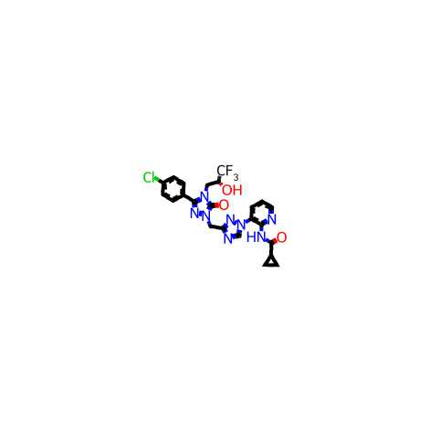 O=C(Nc1ncccc1-n1cnc(Cn2nc(-c3ccc(Cl)cc3)n(CC(O)C(F)(F)F)c2=O)n1)C1CC1